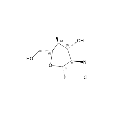 C[C@H]1[C@H](O)[C@@H](NCl)[C@H](C)O[C@@H]1CO